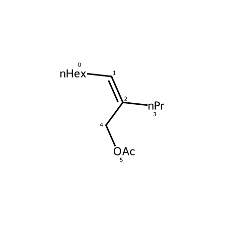 CCCCCCC=C(CCC)COC(C)=O